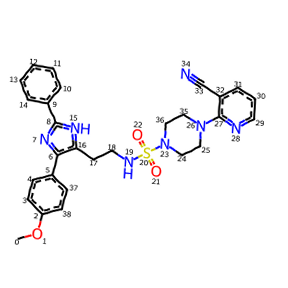 COc1ccc(-c2nc(-c3ccccc3)[nH]c2CCNS(=O)(=O)N2CCN(c3ncccc3C#N)CC2)cc1